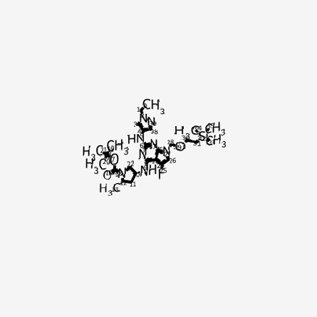 CCn1cc(Nc2nc(N[C@@H]3C[C@H](C)N(C(=O)OC(C)(C)C)C3)c3c(F)cn(COCC[Si](C)(C)C)c3n2)cn1